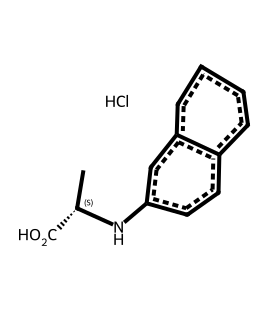 C[C@H](Nc1ccc2ccccc2c1)C(=O)O.Cl